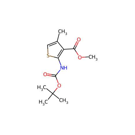 COC(=O)c1c(C)csc1NC(=O)OC(C)(C)C